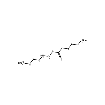 CCCCCCCCCCCCCC(=O)CONCCCC(=O)O